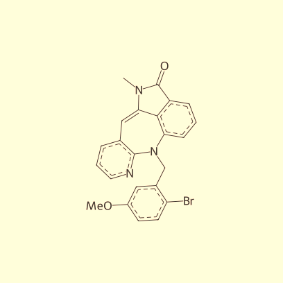 COc1ccc(Br)c(CN2c3cccc4c3C(=Cc3cccnc32)N(C)C4=O)c1